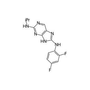 CC(C)Nc1ncc2nc(Nc3ccc(F)cc3F)[nH]c2n1